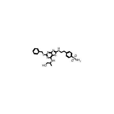 CC(CO)Nc1nc(SCc2ccccc2)nc2nc(NCCc3ccc(S(N)(=O)=O)cc3)sc12